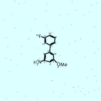 COc1cc(N)cc(-c2cccc(F)c2)c1